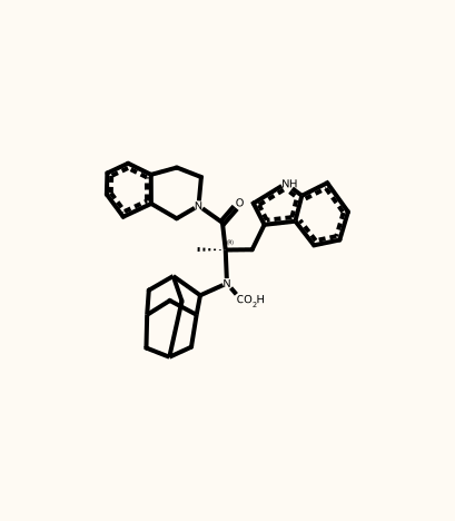 C[C@@](Cc1c[nH]c2ccccc12)(C(=O)N1CCc2ccccc2C1)N(C(=O)O)C1C2CC3CC(C2)CC1C3